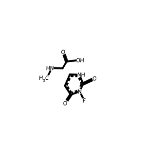 CNCC(=O)O.O=c1cc[nH]c(=O)n1F